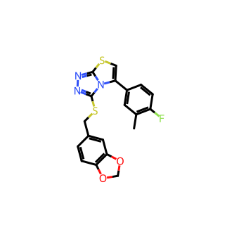 Cc1cc(-c2csc3nnc(SCc4ccc5c(c4)OCO5)n23)ccc1F